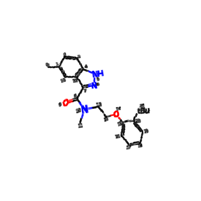 Cc1ccc2[nH]nc(C(=O)N(C)CCOc3ccccc3C(C)(C)C)c2c1